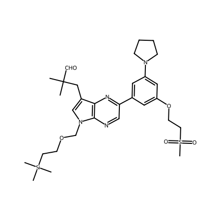 CC(C)(C=O)Cc1cn(COCC[Si](C)(C)C)c2ncc(-c3cc(OCCS(C)(=O)=O)cc(N4CCCC4)c3)nc12